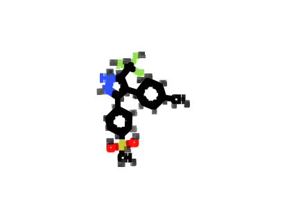 Cc1ccc(-c2c(-c3ccc(S(C)(=O)=O)cc3)n[nH]c2C(F)(F)F)cc1